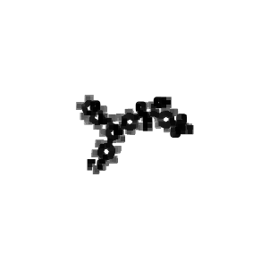 CCS(=O)(=O)c1ccc([C@H](CO)NC(=O)c2ccc(N3CC(c4ccc(C(F)(F)F)cc4)C[C@H]3CN3CCC4(CCCO4)C3)cc2)cc1